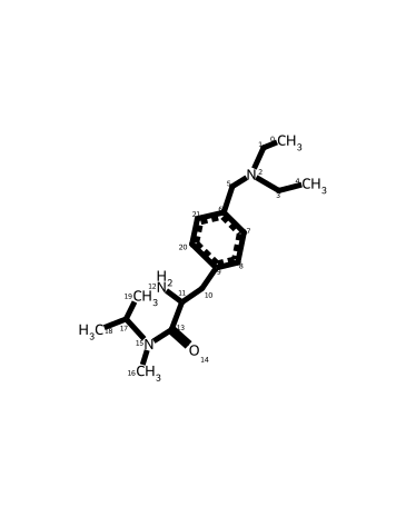 CCN(CC)Cc1ccc(CC(N)C(=O)N(C)C(C)C)cc1